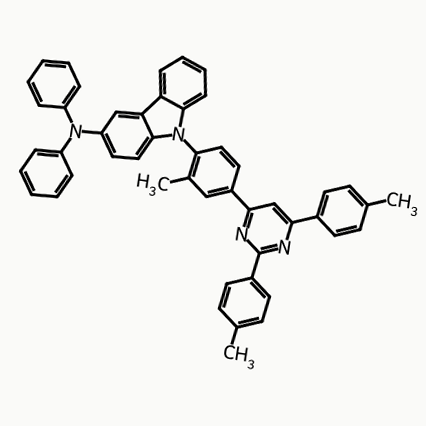 Cc1ccc(-c2cc(-c3ccc(-n4c5ccccc5c5cc(N(c6ccccc6)c6ccccc6)ccc54)c(C)c3)nc(-c3ccc(C)cc3)n2)cc1